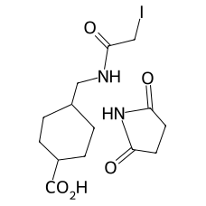 O=C(CI)NCC1CCC(C(=O)O)CC1.O=C1CCC(=O)N1